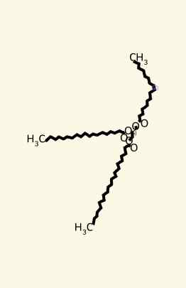 CCCCCCCC/C=C\CCCCCCCC(=O)OC[C@H](COC(=O)CCCCCCCCCCCCCCCCCCCCC)OC(=O)CCCCCCCCCCCCCCCCCCC